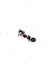 CC(C)(C)OC(=O)NC12CC(N3CCC(Oc4ccncc4)C3)(C1)C2